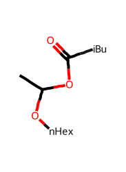 CCCCCCOC(C)OC(=O)C(C)CC